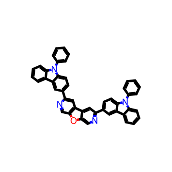 c1ccc(-n2c3ccccc3c3cc(-c4cc5c(cn4)oc4cnc(-c6ccc7c(c6)c6ccccc6n7-c6ccccc6)cc45)ccc32)cc1